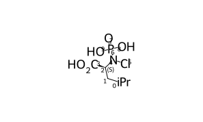 CC(C)C[C@@H](C(=O)O)N(Cl)P(=O)(O)O